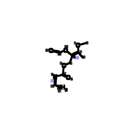 CO/C(C)=C(/COC(=O)/N=C\N)OC=O